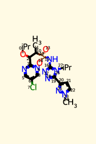 CC(C)OC(c1ncc(Cl)cn1)C(C)S(=O)(=O)Nc1nnc(-c2ccn(C)n2)n1C(C)C